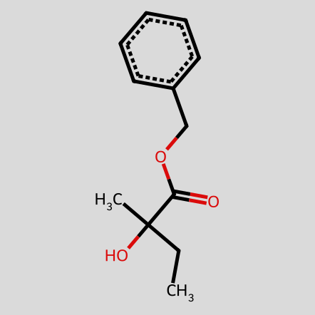 CCC(C)(O)C(=O)OCc1ccccc1